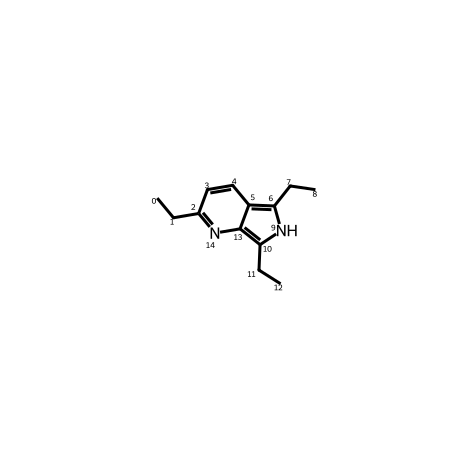 CCc1ccc2c(CC)[nH]c(CC)c2n1